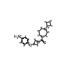 Nc1ccc(OC2CN(C(=O)N3CCCN(C4CCC4)CC3)C2)cc1